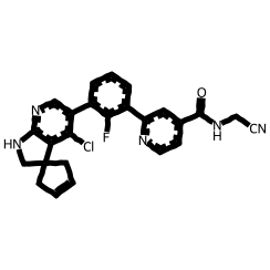 N#CCNC(=O)c1ccnc(-c2cccc(-c3cnc4c(c3Cl)C3(CC=CC3)CN4)c2F)c1